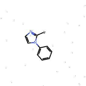 [Ir][c]1nccn1-c1ccccc1